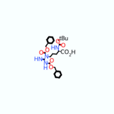 CC(C)(C)OC(=O)N[C@H](CCCN(C(=N)NC(=O)OCc1ccccc1)C(=O)OCc1ccccc1)C(=O)O